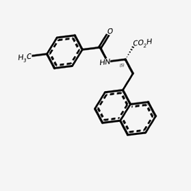 Cc1ccc(C(=O)N[C@@H](Cc2cccc3ccccc23)C(=O)O)cc1